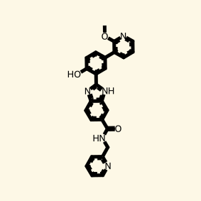 COc1ncccc1-c1ccc(O)c(-c2nc3ccc(C(=O)NCc4ccccn4)cc3[nH]2)c1